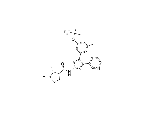 C[C@H]1C(=O)NCC1C(=O)Nc1cc(-c2cc(F)cc(OC(C)(C)C(F)(F)F)c2)n(-c2cnccn2)n1